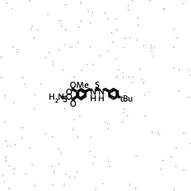 COC(=O)c1cc(CNC(=S)NCc2ccc(C(C)(C)C)cc2)ccc1C(=O)OSN